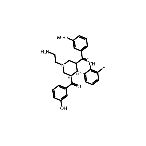 COc1cccc(C(=O)C2CN(CCN)C[C@H](C(=O)c3cccc(O)c3)[C@H]2c2cccc(F)c2C)c1